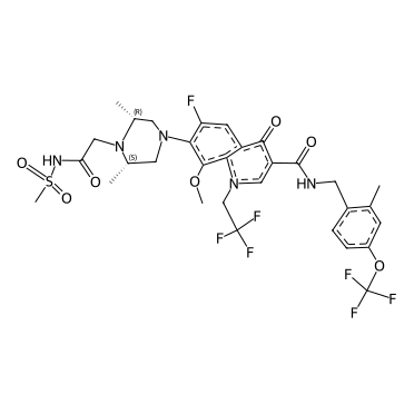 COc1c(N2C[C@@H](C)N(CC(=O)NS(C)(=O)=O)[C@@H](C)C2)c(F)cc2c(=O)c(C(=O)NCc3ccc(OC(F)(F)F)cc3C)cn(CC(F)(F)F)c12